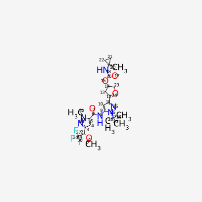 COC(c1cc(C(=O)Nc2cc([C@H]3C[C@@H](OC(=O)NC4(C)CC4)CO3)nn2C(C)(C)C)n(C)n1)C(F)(F)F